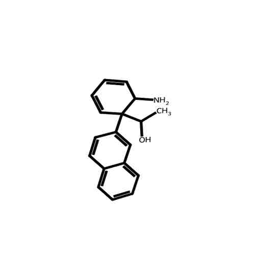 CC(O)C1(c2ccc3ccccc3c2)C=CC=CC1N